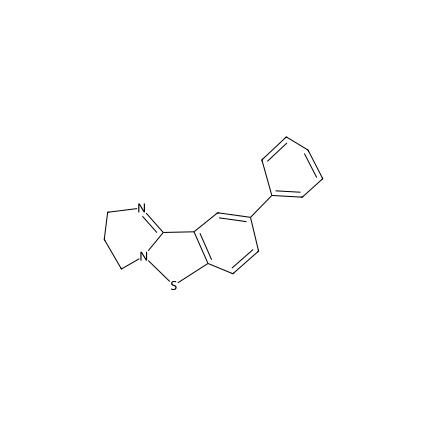 c1ccc(-c2ccc3c(c2)C2=NCCCN2S3)cc1